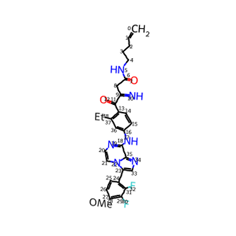 C=CCCCNC(=O)CC(=N)C(=O)c1ccc(Nc2nccn3c(-c4ccc(OC)c(F)c4F)cnc23)cc1CC